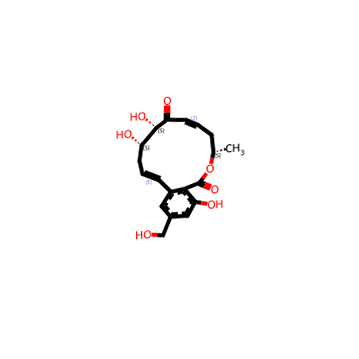 C[C@H]1C/C=C\C(=O)[C@@H](O)[C@@H](O)C/C=C/c2cc(CO)cc(O)c2C(=O)O1